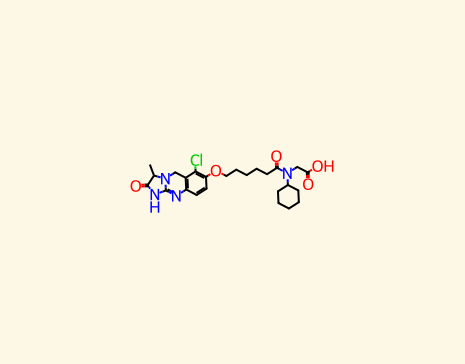 CC1C(=O)NC2=Nc3ccc(OCCCCCC(=O)N(CC(=O)O)C4CCCCC4)c(Cl)c3CN21